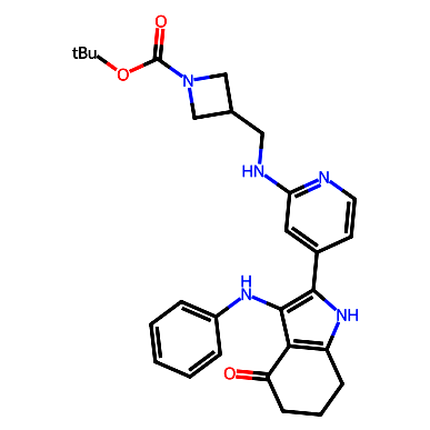 CC(C)(C)OC(=O)N1CC(CNc2cc(-c3[nH]c4c(c3Nc3ccccc3)C(=O)CCC4)ccn2)C1